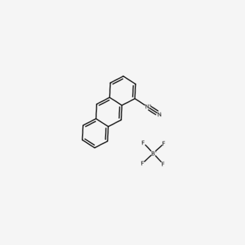 F[B-](F)(F)F.N#[N+]c1cccc2cc3ccccc3cc12